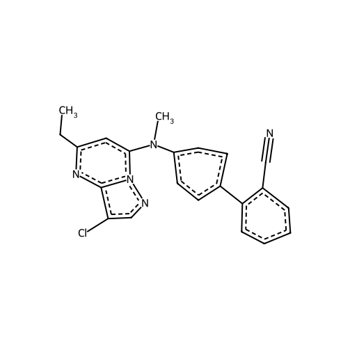 CCc1cc(N(C)c2ccc(-c3ccccc3C#N)cc2)n2ncc(Cl)c2n1